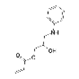 C=CC(=O)OCC(O)CNc1ccccc1